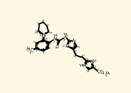 Cc1ccc(NC(=O)Nc2ncc(CCc3nc(C(=O)O)c[nH]3)s2)c(N2CCCCC2)c1